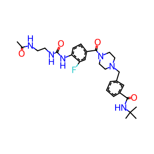 CC(=O)NCCNC(=O)Nc1ccc(C(=O)N2CCN(Cc3cccc(C(=O)NC(C)(C)C)c3)CC2)cc1F